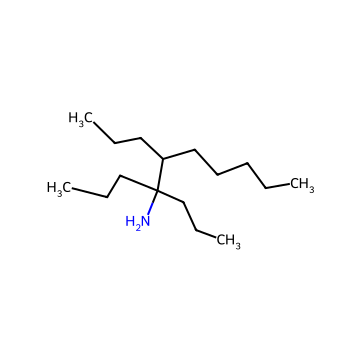 CCCCCC(CCC)C(N)(CCC)CCC